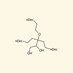 CCCCCCCCCCCCOC(CCCCCCCCCCCC)(CCCCCCCCCCCC)C(O)CO